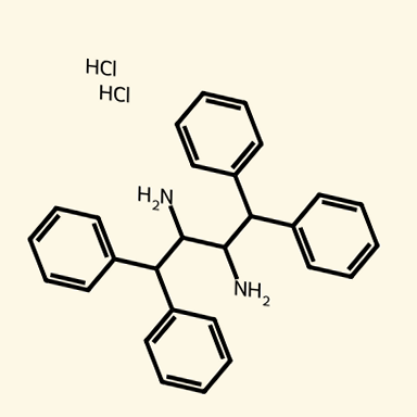 Cl.Cl.NC(C(c1ccccc1)c1ccccc1)C(N)C(c1ccccc1)c1ccccc1